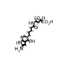 Nc1cc2c([nH]1)N=CN(CCCCC(=O)N[C@@H](CCC(=O)O)C(=O)O)C2O